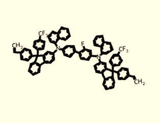 C=Cc1ccc(C2(c3ccc(C(F)(F)F)cc3)c3ccccc3-c3ccc(N(c4ccc(-c5ccc(N(c6ccc7c(c6)C(c6ccc(C=C)cc6)(c6ccc(C(F)(F)F)cc6)c6ccccc6-7)c6cccc7ccccc67)cc5F)cc4)c4cccc5ccccc45)cc32)cc1